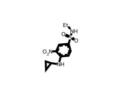 CCNS(=O)(=O)c1ccc(NC2CC2)c([N+](=O)[O-])c1